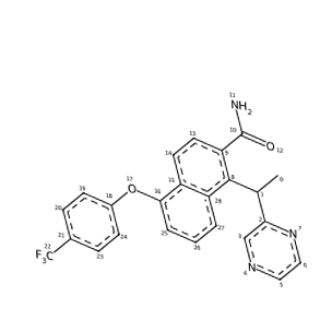 CC(c1cnccn1)c1c(C(N)=O)ccc2c(Oc3ccc(C(F)(F)F)cc3)cccc12